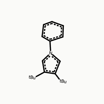 CC(C)(C)c1cn(-c2ccccc2)cc1C(C)(C)C